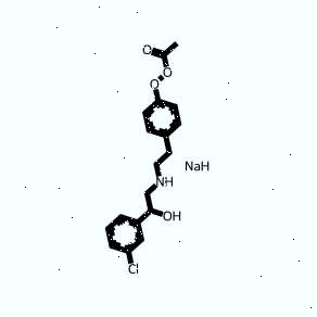 CC(=O)OOc1ccc(CCNCC(O)c2cccc(Cl)c2)cc1.[NaH]